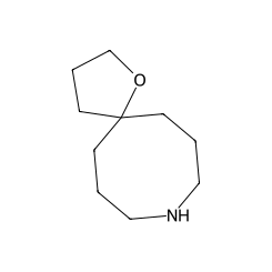 C1CNCCCC2(C1)CCCO2